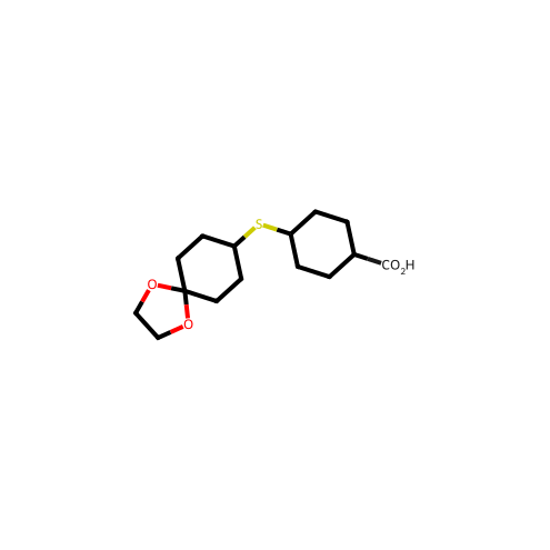 O=C(O)C1CCC(SC2CCC3(CC2)OCCO3)CC1